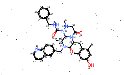 Cc1cc(O)cc(C)c1C[C@H]1C(=O)N(Cc2ccc3ncccc3c2)[C@@H](C)C2N1C(=O)CN(C)N2C(=O)NCc1ccccc1